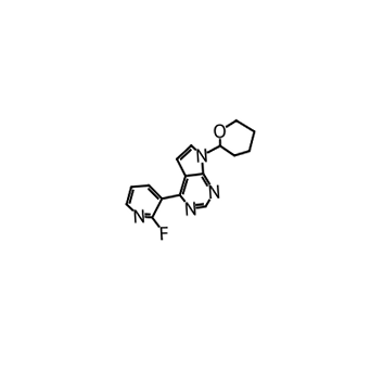 Fc1ncccc1-c1ncnc2c1ccn2C1CCCCO1